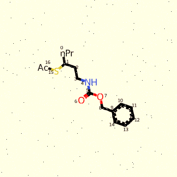 CCCC(CCNC(=O)OCc1ccccc1)SC(C)=O